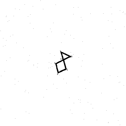 [CH]1CC12CCC2